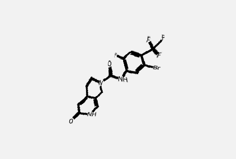 O=C(Nc1cc(Br)c(C(F)(F)F)cc1F)N1CCc2cc(=O)[nH]cc2C1